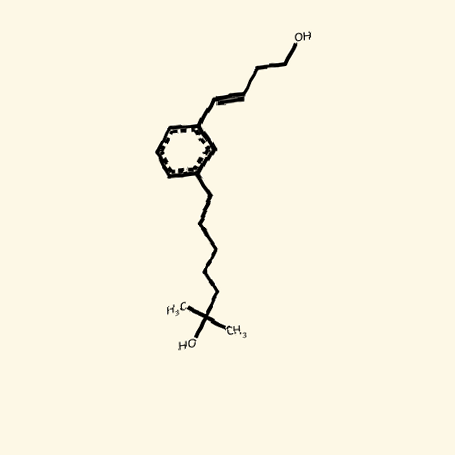 CC(C)(O)CCCCCc1cccc(C=CCCO)c1